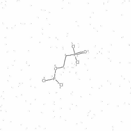 O=P(Cl)(Cl)CCOP(Cl)Cl